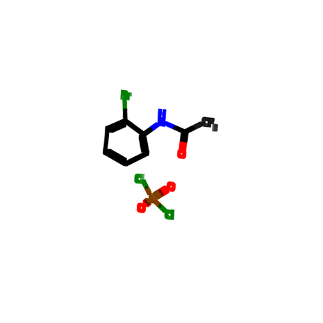 O=C(Nc1ccccc1Br)C(F)(F)F.O=S(=O)(Cl)Cl